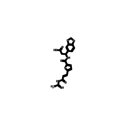 N=C(N)NC(=O)C=Cc1ccc(C(=O)NC(CC(=O)O)c2ccc3c(c2)OCO3)s1